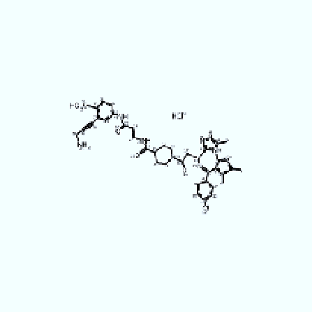 Cc1sc2c(c1C)C(c1ccc(Cl)cc1)=N[C@@H](CC(=O)N1CCC(C(=O)NCCC(=O)Nc3ccc(C(=O)O)c(C#CCN)c3)CC1)c1nnc(C)n1-2.Cl